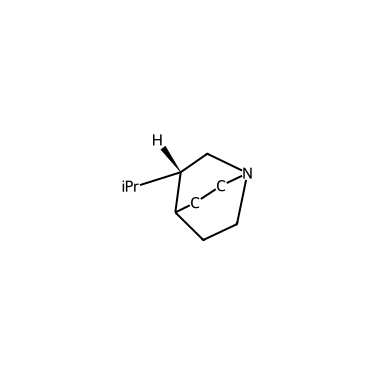 CC(C)[C@@H]1CN2CCC1CC2